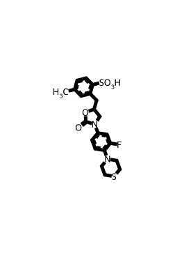 Cc1ccc(S(=O)(=O)O)c(CC2CN(c3ccc(N4CCSCC4)c(F)c3)C(=O)O2)c1